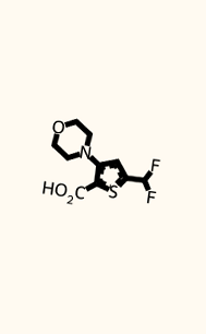 O=C(O)c1sc(C(F)F)cc1N1CCOCC1